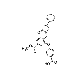 COC(=O)c1ccc(CN2CC(c3ccccc3)CC2=O)c(Oc2ccc(C(=O)O)cc2)c1